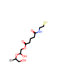 CCC(CO)OC(O)COC(=O)CCCC(=O)NCCS